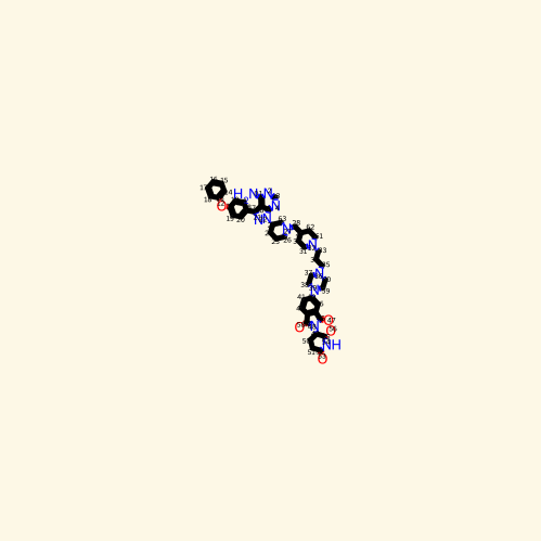 Nc1ncnc2c1c(-c1ccc(Oc3ccccc3)cc1)nn2[C@@H]1CCCN(CC2CCN(CCCN3CCN(c4ccc5c(c4)C(=O)N(C4CCC(=O)NC4=O)C5=O)CC3)CC2)C1